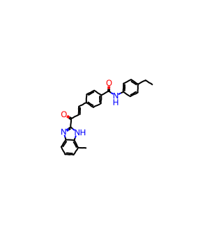 CCc1ccc(NC(=O)c2ccc(C=CC(=O)c3nc4cccc(C)c4[nH]3)cc2)cc1